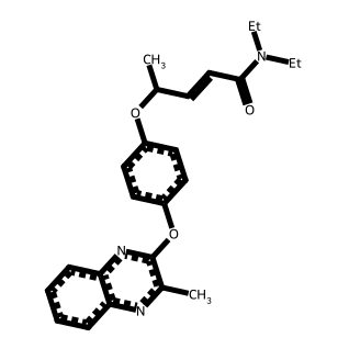 CCN(CC)C(=O)/C=C/C(C)Oc1ccc(Oc2nc3ccccc3nc2C)cc1